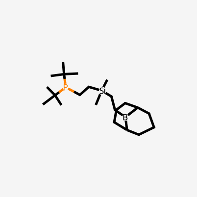 CC(C)(C)P(CC[Si](C)(C)CCB1C2CCCC1CCC2)C(C)(C)C